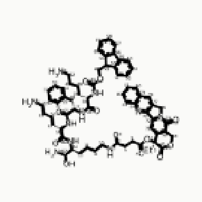 CC[C@@]1(OC(=O)CCC(=O)NCCCC[C@H](NC(=O)[C@H](CCCCN)NC(=O)[C@H](Cc2ccccc2)NC(=O)[C@H](CCCCN)NC(=O)OCC2c3ccccc3-c3ccccc32)C(N)O)C(=O)OCc2c1cc1n(c2=O)Cc2cc3ccccc3nc2-1